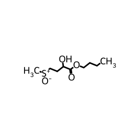 CCCCOC(=O)C(O)CC[S+](C)[O-]